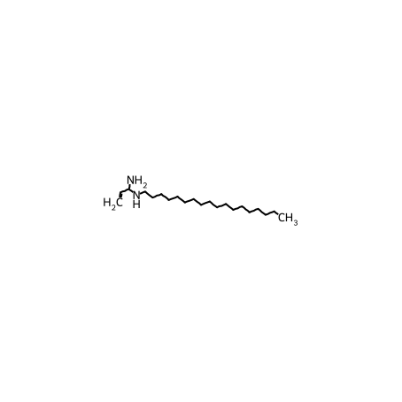 C=CC(N)NCCCCCCCCCCCCCCCCCC